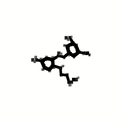 Cl.Nc1cc(N)cc(C[AsH]c2cc(N)ccc2OCCO)c1